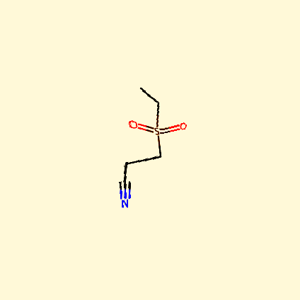 CCS(=O)(=O)CCC#N